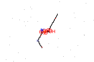 CCCCCCCC/C=C\CCCCCCCC(=O)C(C[N+](C)(C)C)OP(=O)([O-])OC[C@@H](CO)OC(=O)CCCCCCCCCCCCCCCCC